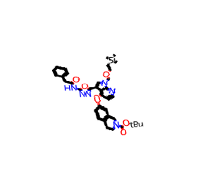 CC(C)(C)OC(=O)N1CCc2ccc(Oc3ccnc4c3c(-c3nnc(NC(=O)Cc5ccccc5)o3)cn4COCC[Si](C)(C)C)cc2C1